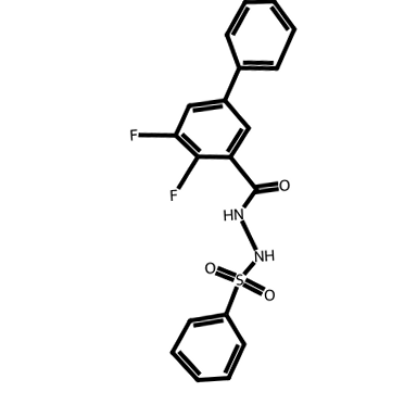 O=C(NNS(=O)(=O)c1ccccc1)c1cc(-c2ccccc2)cc(F)c1F